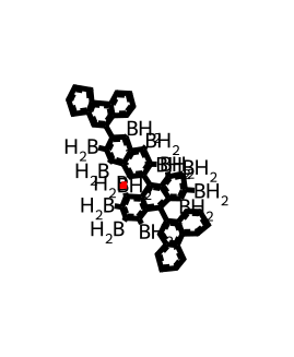 Bc1c(-c2c3c(B)c(B)c(B)c(B)c3c(-c3cc4ccccc4c4ccccc34)c3c(B)c(B)c(B)c(B)c23)c(B)c2c(B)c(B)c(-c3cc4ccccc4c4ccccc34)c(B)c2c1B